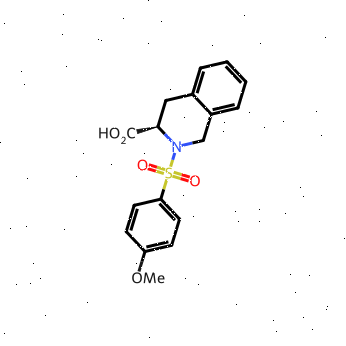 COc1ccc(S(=O)(=O)N2Cc3ccccc3C[C@@H]2C(=O)O)cc1